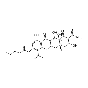 CCCCNCc1cc(O)c2c(c1N(C)C)CC1C[C@H]3CC(O)=C(C(N)=O)C(=O)[C@@]3(O)C(O)=C1C2=O